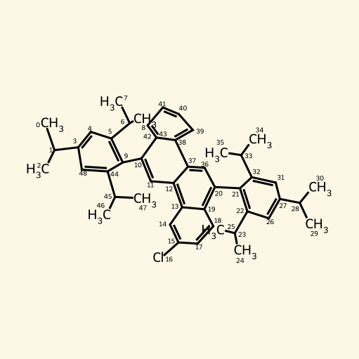 CC(C)c1cc(C(C)C)c(-c2cc3c4cc(Cl)ccc4c(-c4c(C(C)C)cc(C(C)C)cc4C(C)C)cc3c3ccccc23)c(C(C)C)c1